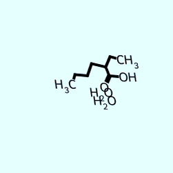 CCCCC(CC)C(=O)O.O.O